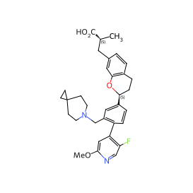 COc1cc(-c2ccc([C@@H]3CCc4ccc(C[C@H](C)C(=O)O)cc4O3)cc2CN2CCC3(CC2)CC3)c(F)cn1